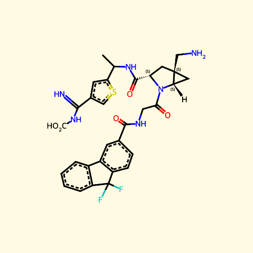 CC(NC(=O)[C@@H]1C[C@]2(CN)C[C@@H]2N1C(=O)CNC(=O)c1ccc2c(c1)-c1ccccc1C2(F)F)c1cc(C(=N)NC(=O)O)cs1